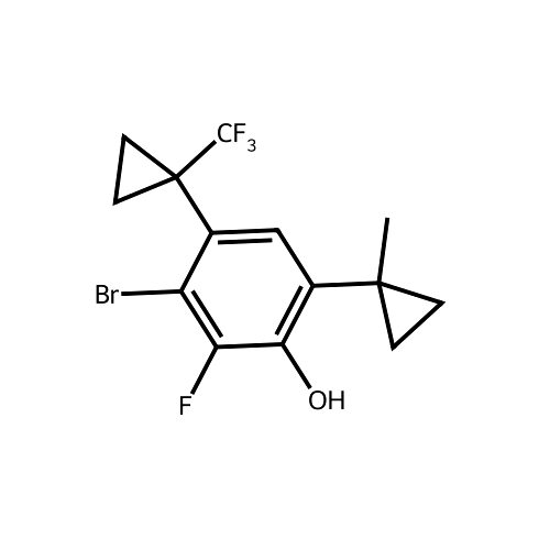 CC1(c2cc(C3(C(F)(F)F)CC3)c(Br)c(F)c2O)CC1